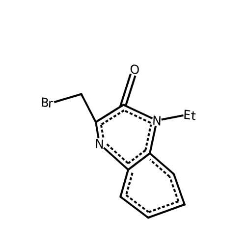 CCn1c(=O)c(CBr)nc2ccccc21